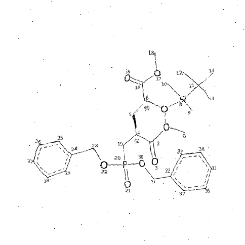 COC(=O)[C@H](C[C@@H](O[Si](C)(C)C(C)(C)C)C(=O)OC)CP(=O)(OCc1ccccc1)OCc1ccccc1